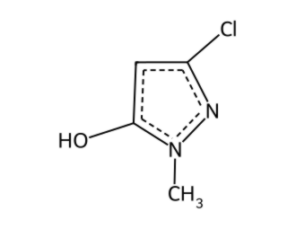 Cn1nc(Cl)cc1O